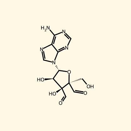 Nc1ncnc2c1ncn2[C@@H]1O[C@](C=O)(CO)[C@](O)(C=O)[C@H]1O